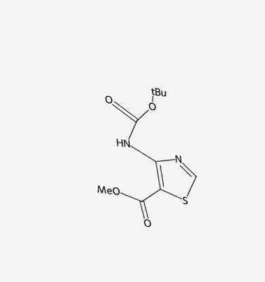 COC(=O)c1scnc1NC(=O)OC(C)(C)C